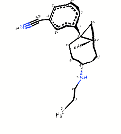 CCCN[C@@H]1CC[C@]2(c3cccc(C#N)c3)C[C@@H]2C1